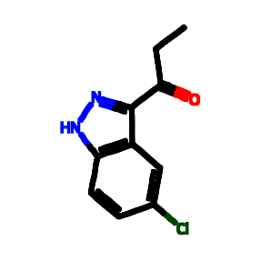 CCC(=O)c1n[nH]c2ccc(Cl)cc12